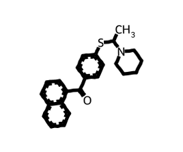 CC(Sc1ccc(C(=O)c2cccc3ccccc23)cc1)N1CCCCC1